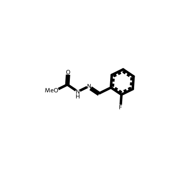 COC(=O)NN=Cc1ccccc1F